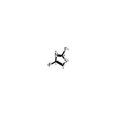 Fc1[c]sc(F)n1